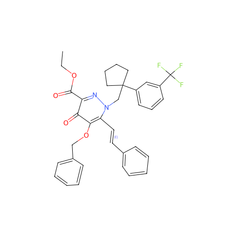 CCOC(=O)c1nn(CC2(c3cccc(C(F)(F)F)c3)CCCC2)c(/C=C/c2ccccc2)c(OCc2ccccc2)c1=O